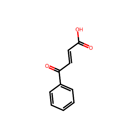 O=C(O)C=CC(=O)c1ccccc1